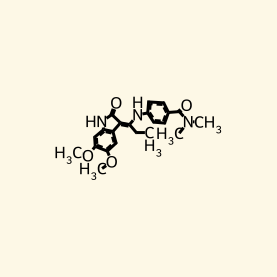 CC/C(Nc1ccc(C(=O)N(C)C)cc1)=C1/C(=O)Nc2cc(OC)c(OC)cc21